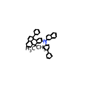 CC1(C)c2cc(N(c3ccc(-c4ccccc4)cc3)c3ccc4ccccc4c3)ccc2-c2c(-c3ccccc3)ccc3cccc1c23